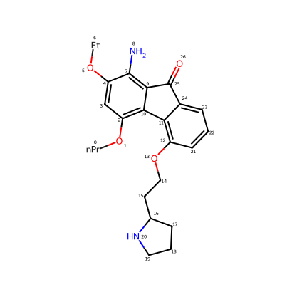 CCCOc1cc(OCC)c(N)c2c1-c1c(OCCC3CCCN3)cccc1C2=O